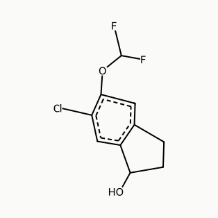 OC1CCc2cc(OC(F)F)c(Cl)cc21